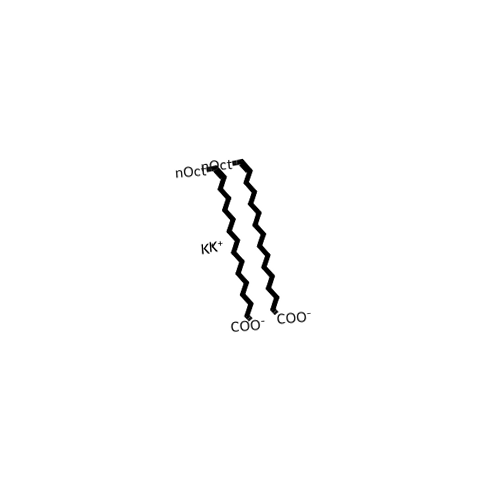 CCCCCCCC/C=C\CCCCCCCCCCCCCC(=O)[O-].CCCCCCCC/C=C\CCCCCCCCCCCCCC(=O)[O-].[K+].[K+]